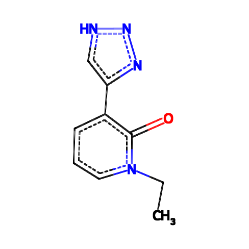 CCn1cccc(-c2c[nH]nn2)c1=O